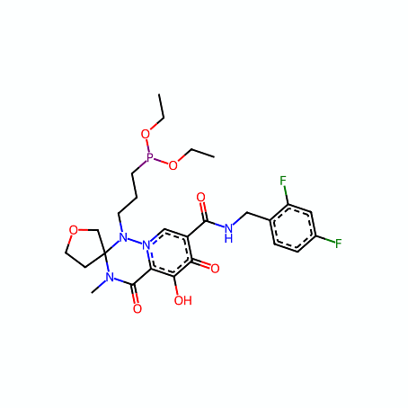 CCOP(CCCN1n2cc(C(=O)NCc3ccc(F)cc3F)c(=O)c(O)c2C(=O)N(C)C12CCOC2)OCC